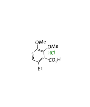 CCc1ccc(OC)c(OC)c1C(=O)O.Cl